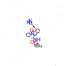 C[C@H](NC(=O)OC(C)(C)C)c1cc2cccc(C#Cc3cnn(C)c3)c2c(=O)n1-c1ccccc1